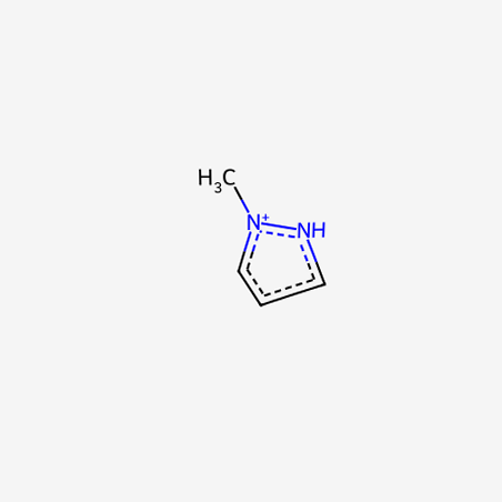 C[n+]1ccc[nH]1